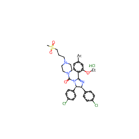 CCOc1cc(C(C)=O)ccc1C1=N[C@@H](c2ccc(Cl)cc2)[C@@H](c2ccc(Cl)cc2)N1C(=O)N1CCN(CCCS(C)(=O)=O)CC1.Cl